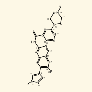 C=C(Nc1cc2cc(-c3cnn(C)c3)c(F)cc2cn1)c1ccnc(N2CCN(C)CC2)c1